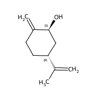 C=C(C)[C@@H]1CCC(=C)[C@@H](O)C1